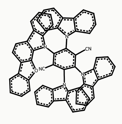 N#Cc1c(-n2c3ccccc3c3ccccc32)c(-n2c3ccccc3c3ccccc32)c(C#N)c(-n2c3ccccc3c3ccc4c5ccccc5oc4c32)c1-n1c2ccccc2c2ccccc21